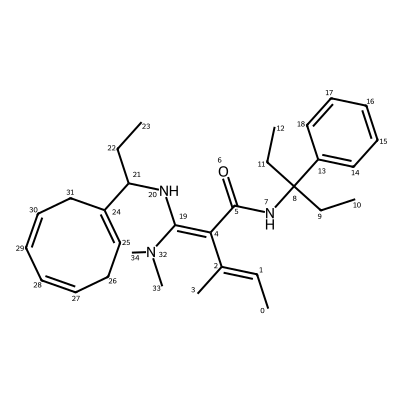 C/C=C(C)/C(C(=O)NC(CC)(CC)c1ccccc1)=C(/NC(CC)/C1=C/C/C=C\C=C/C1)N(C)C